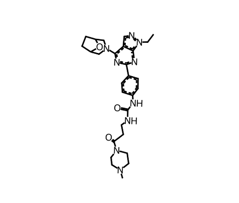 CCn1ncc2c(N3CC4CCC(C3)O4)nc(-c3ccc(NC(=O)NCCC(=O)N4CCN(C)CC4)cc3)nc21